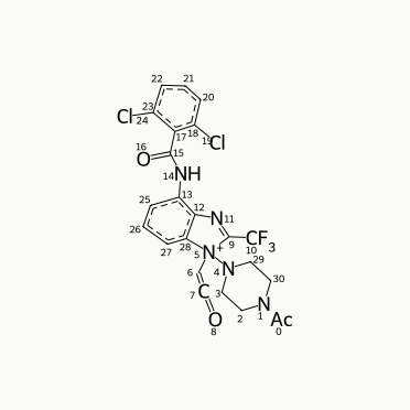 CC(=O)N1CCN([N+]2(C=C=O)C(C(F)(F)F)=Nc3c(NC(=O)c4c(Cl)cccc4Cl)cccc32)CC1